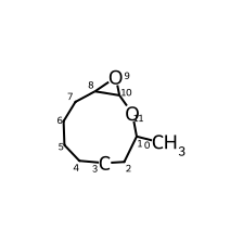 CC1CCCCCCC2OC2O1